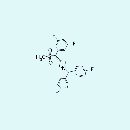 CS(=O)(=O)C(=C1CN(C(c2ccc(F)cc2)c2ccc(F)cc2)C1)c1cc(F)cc(F)c1